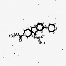 CC(C)(C)OC(=O)N1CCC2(CC1)Cc1ccc(N3CCOCC3)cc1C2=N[S@+]([O-])C(C)(C)C